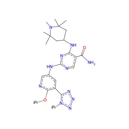 CC(C)Oc1ncc(Nc2ncc(C(N)=O)c(NC3CC(C)(C)N(C)C(C)(C)C3)n2)cc1-c1nnnn1C(C)C